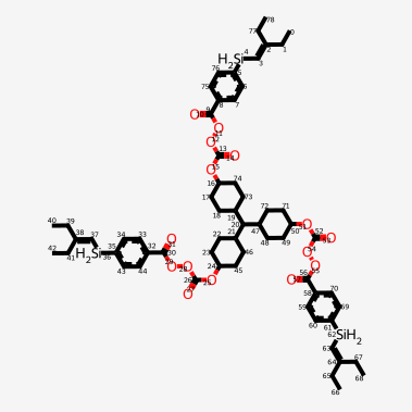 CCC(=C[SiH2]c1ccc(C(=O)OOC(=O)OC2CCC(C(C3CCC(OC(=O)OOC(=O)c4ccc([SiH2]C=C(CC)CC)cc4)CC3)C3CCC(OC(=O)OOC(=O)c4ccc([SiH2]C=C(CC)CC)cc4)CC3)CC2)cc1)CC